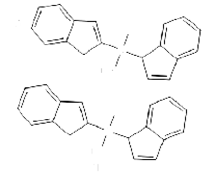 C[Si](C)(C1=Cc2ccccc2C1)C1C=Cc2ccccc21.C[Si](C)(C1=Cc2ccccc2C1)C1C=Cc2ccccc21.[Cl-].[Cl-].[Zr+2]